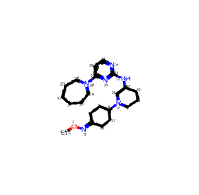 CCON=C1CCC(N2CCCC(Nc3nccc(N4CCCCCC4)n3)C2)CC1